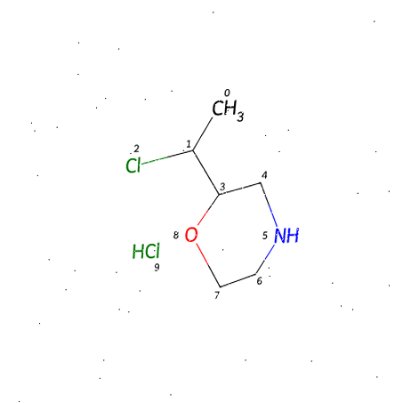 CC(Cl)C1CNCCO1.Cl